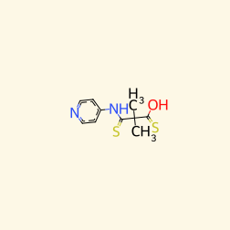 CC(C)(C(O)=S)C(=S)Nc1ccncc1